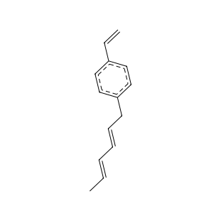 C=Cc1ccc(CC=CC=CC)cc1